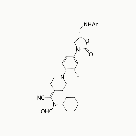 CC(=O)NC[C@H]1CN(c2ccc(N3CCC(=C(C#N)N(C=O)C4CCCCC4)CC3)c(F)c2)C(=O)O1